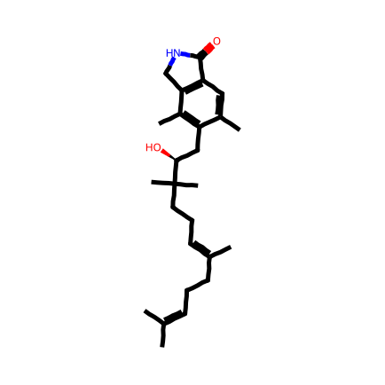 CC(C)=CCC/C(C)=C/CCC(C)(C)[C@@H](O)Cc1c(C)cc2c(c1C)CNC2=O